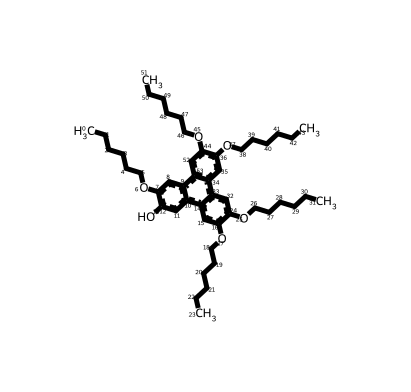 CCCCCCOc1cc2c(cc1O)c1cc(OCCCCCC)c(OCCCCCC)cc1c1cc(OCCCCCC)c(OCCCCCC)cc21